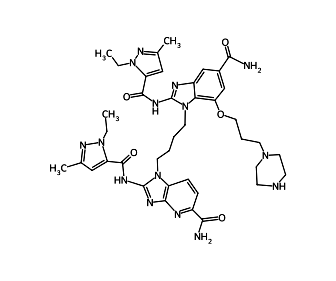 CCn1nc(C)cc1C(=O)Nc1nc2nc(C(N)=O)ccc2n1CCCCn1c(NC(=O)c2cc(C)nn2CC)nc2cc(C(N)=O)cc(OCCCN3CCNCC3)c21